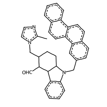 Cc1nccn1CC1CCC2C(c3ccccc3N2Cc2ccc3ccc4c5ccccc5ccc4c3c2)C1C=O